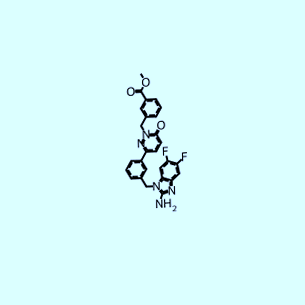 COC(=O)c1cccc(Cn2nc(-c3cccc(Cn4c(N)nc5cc(F)c(F)cc54)c3)ccc2=O)c1